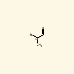 C[C@@H](Br)C=O